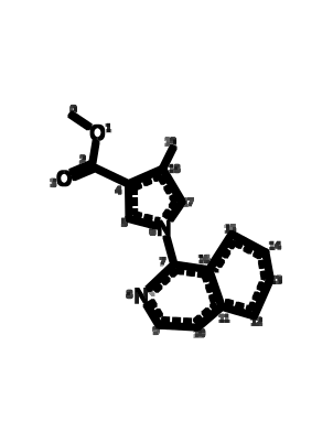 COC(=O)c1cn(-c2nccc3ccccc23)cc1C